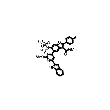 CNC(=O)c1c(-c2ccc(F)cc2)oc2cc(N(C)S(C)(=O)=O)c(-c3cc(-c4cc5ccccc5[nH]4)nc(OC)n3)cc12